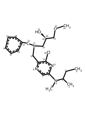 CCC(C)N(C)c1cnc(CN(Cc2ccccc2)C[C@@H](O)COC)c(Cl)n1